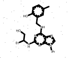 CCC(CO)Nc1nc(NCc2cc(C)ccc2O)c2ncn(C(C)C)c2n1